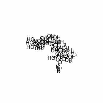 CC1[C@H](O[C@@H]2C(O)[C@H](O[C@@H]3C(CO)O[C@@H](O[C@@H]4C(O)[C@H](O[C@@H]5C(CO)O[C@@H](OCCN=[N+]=[N-])C(C)[C@H]5OC5CC(O)[C@H](O)[C@H](C)O5)OC(CO)[C@@H]4O)C(C)[C@H]3O)OC(CO)[C@@H]2O)OC(CO)[C@@H](O[C@@H]2OC(CO)[C@H](O)[C@H](O)C2O)[C@@H]1O